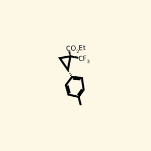 CCOC(=O)[C@]1(C(F)(F)F)C[C@H]1c1ccc(C)cc1